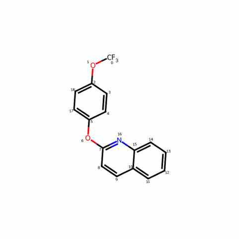 FC(F)(F)Oc1ccc(Oc2ccc3ccccc3n2)cc1